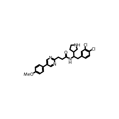 COc1ccc(-c2cnc(CCC(=O)NC(Cc3ccc(Cl)c(Cl)c3)C3CCNC3)nc2)cc1